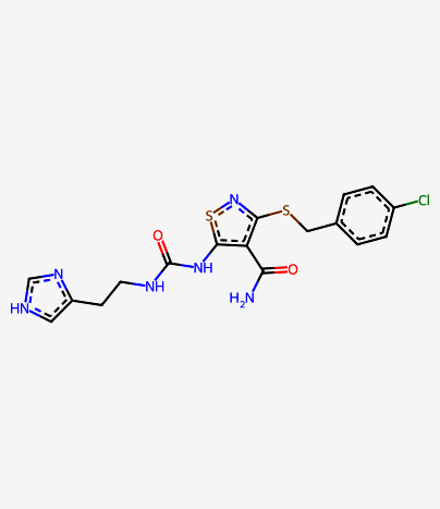 NC(=O)c1c(SCc2ccc(Cl)cc2)nsc1NC(=O)NCCc1c[nH]cn1